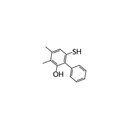 Cc1cc(S)c(-c2ccccc2)c(O)c1C